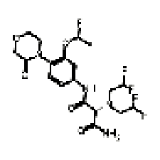 NC(=O)[C@H](C(=O)Nc1ccc(N2CCOCC2=O)c(OC(F)F)c1)N(CC(F)F)CC(F)F